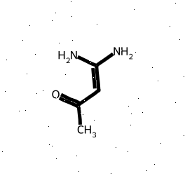 CC(=O)C=C(N)N